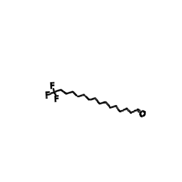 O=CCCCCCCCCCCCCCCC(F)(F)F